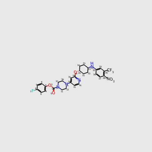 O=C(Oc1ccc(F)cc1)N1CCN(c2ccnc(O[C@H]3CC[C@H](Nc4ccc([N+](=O)[O-])c(C(F)(F)F)c4)CC3)c2)CC1